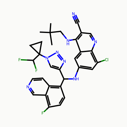 CC(C)(C)CNc1c(C#N)cnc2c(Cl)cc(NC(c3cn(C4(C(F)F)CC4)nn3)c3ccc(F)c4cnccc34)cc12